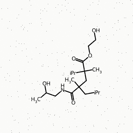 CC(C)CC(C)(CC(C)(C(=O)OCCO)C(C)C)C(=O)NCC(C)O